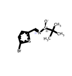 CC(C)(C)[S@+]([O-])/N=C/c1ccc(Br)s1